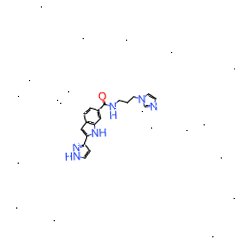 O=C(NCCCn1ccnc1)c1ccc2cc(-c3cc[nH]n3)[nH]c2c1